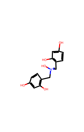 Oc1ccc(/C=[N+](\O)Cc2ccc(O)cc2O)c(O)c1